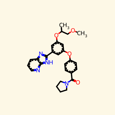 COCC(C)Oc1cc(Oc2ccc(C(=O)N3CCCC3)cc2)cc(-c2nc3cccnc3[nH]2)c1